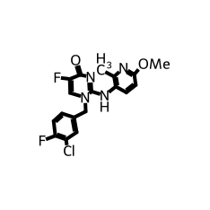 COc1ccc(Nc2nc(=O)c(F)cn2Cc2ccc(F)c(Cl)c2)c(C)n1